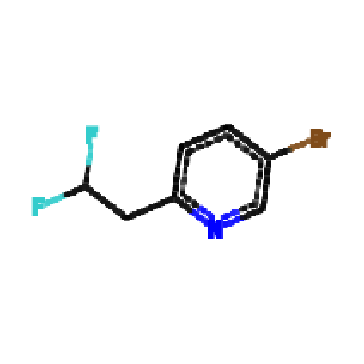 FC(F)Cc1ccc(Br)cn1